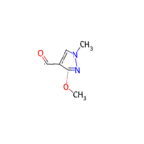 COc1nn(C)cc1[C]=O